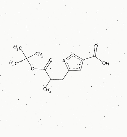 CC(Cc1cc(C(=O)O)cs1)C(=O)OC(C)(C)C